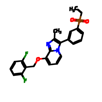 CCS(=O)(=O)c1cccc(-c2c(C)nc3c(OCc4c(F)cccc4F)cccn23)c1